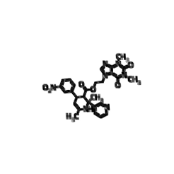 CC1=CC(c2cccc([N+](=O)[O-])c2)C(C(=O)OCCn2cnc3c2c(=O)n(C)c(=O)n3C)C(C)(c2cccnc2)N1